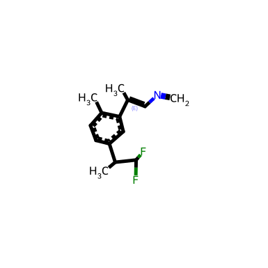 C=N/C=C(\C)c1cc(C(C)C(F)F)ccc1C